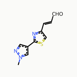 Cn1cc(-c2nc(/C=C/C=O)cs2)cn1